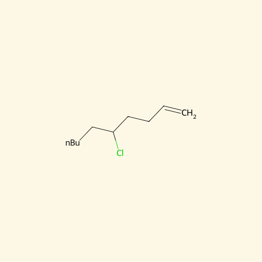 [CH2]CCCCC(Cl)CCC=C